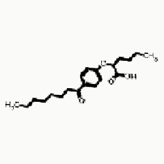 CCCCCCCC(=O)c1ccc(OC(CCCC)C(=O)O)cc1